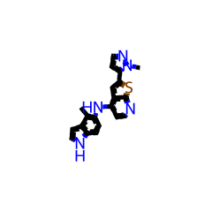 Cc1c(Nc2ccnc3sc(-c4ccnn4C)cc23)ccc2[nH]ccc12